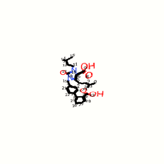 CC(C)CCc1c(C(=O)O)n(CCC(C)C)c(=O)n1Cc1ccc(-c2ccccc2C(=O)O)cc1